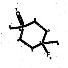 CC1(F)CCP(C)(=O)CC1